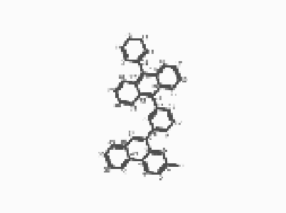 Cc1ccc2c(c1)c(-c1cccc(-c3c4ccccc4c(C4=CCCC=C4)c4ccccc34)c1)cc1ccccc12